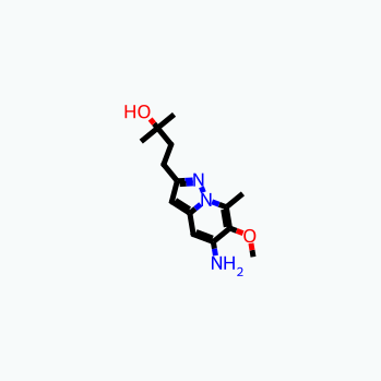 COc1c(N)cc2cc(CCC(C)(C)O)nn2c1C